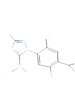 Cc1cc(C2CC2)c(S)cc1-n1nc(C(F)(F)F)nc1N(C)C